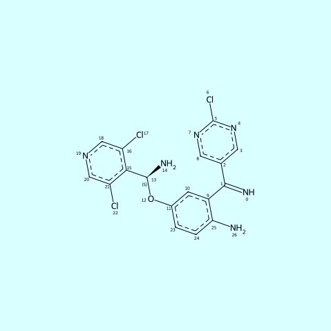 N=C(c1cnc(Cl)nc1)c1cc(O[C@H](N)c2c(Cl)cncc2Cl)ccc1N